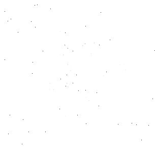 CC(C)(C)OC(=O)N1C2CCC(CC2)C1CO